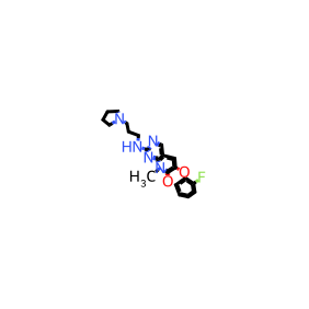 Cn1c(=O)c(Oc2ccccc2F)cc2cnc(NCCCN3CCCC3)nc21